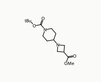 COC(=O)C1CN(C2CCN(C(=O)OC(C)(C)C)CC2)C1